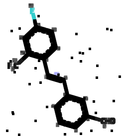 O=Cc1cccc(/C=C/c2ccc(F)cc2C(F)(F)F)c1